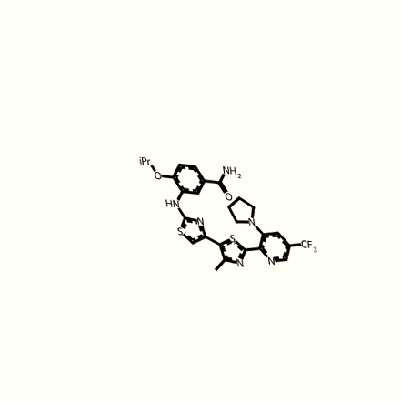 Cc1nc(-c2ncc(C(F)(F)F)cc2N2CCCC2)sc1-c1csc(Nc2cc(C(N)=O)ccc2OC(C)C)n1